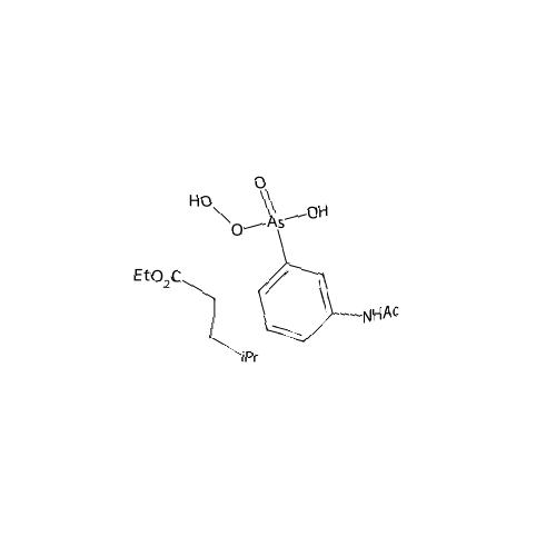 CC(=O)Nc1cccc([As](=O)(O)OO)c1.CCOC(=O)CCC(C)C